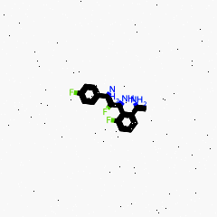 C=C(N)c1cccc(F)c1C(=N)/C(F)=C(\N)c1ccc(F)cc1